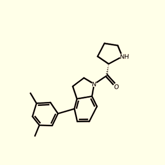 Cc1cc(C)cc(-c2cccc3c2CCN3C(=O)[C@@H]2CCCN2)c1